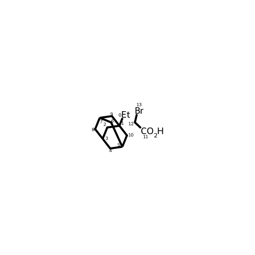 CCC12CC3CC(CC(C3)C1)C2.O=C(O)CBr